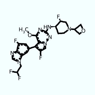 COc1nc(N[C@@H]2CCN(C3COC3)C[C@@H]2F)nn2cc(F)c(-c3cc(F)c4ncn(CC(F)F)c4c3)c12